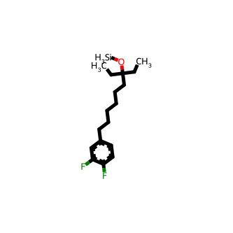 CCC(CC)(CCCCCCc1ccc(F)c(F)c1)O[SiH3]